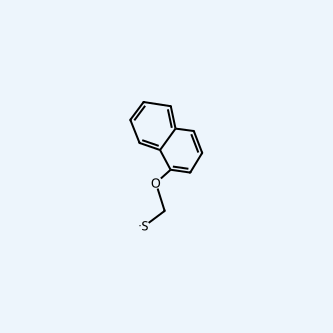 [S]COc1cccc2ccccc12